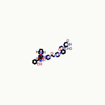 Nc1nnc(-c2ccccc2O)cc1N1C[C@H]2CC[C@@H](C1)N2c1cc(F)cc(OC2CCN(C(=O)CN3CCN(c4cccc5c4OCCN5[C@]4(C=O)CCC(=O)NC4)CC3)CC2)c1